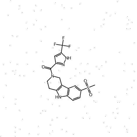 CS(=O)(=O)c1ccc2[nH]c3c(c2c1)CN(C(=O)c1cc(C(F)(F)F)[nH]n1)CC3